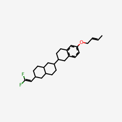 CC=CCOc1ccc2c(c1)CCC(C1CCC3CC(C=C(F)F)CCC3C1)C2